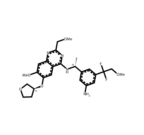 COCc1nc(N[C@H](C)c2cc(N)cc(C(F)(F)COC)c2)c2cc(O[C@H]3CCOC3)c(OC)cc2n1